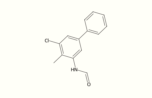 Cc1c(Cl)cc(-c2ccccc2)cc1NC=O